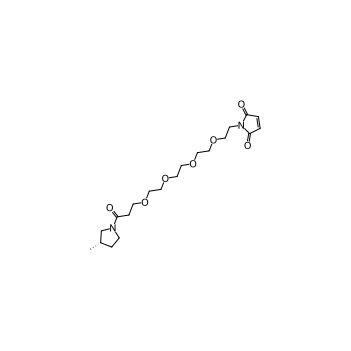 C[C@H]1CCN(C(=O)CCOCCOCCOCCOCCN2C(=O)C=CC2=O)C1